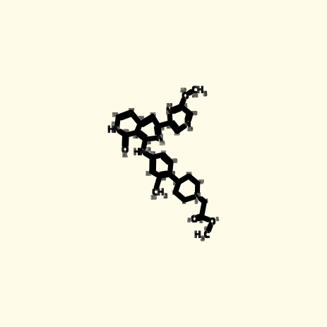 COC(=O)CN1CCC(c2ccc(Nc3nc(-c4cncc(OC)n4)cc4cc[nH]c(=O)c34)cc2C)CC1